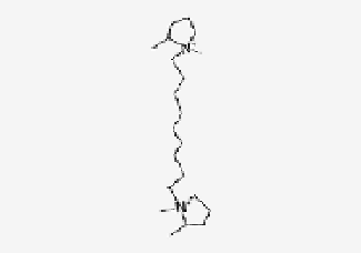 CC1CCC[N+]1(C)CCCCCCCCC[N+]1(C)CCCC1C